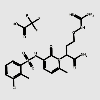 Cc1c(Cl)cccc1S(=O)(=O)Nc1ccc(C)n(C(CCONC(=N)N)C(N)=O)c1=O.O=C(O)C(F)(F)F